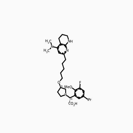 COc1c(F)cc(C(C)C)cc1[C@H](C(=O)O)N1CC[C@@H](OCCCCCc2cc(N(C)C)c3c(n2)NCCC3)C1